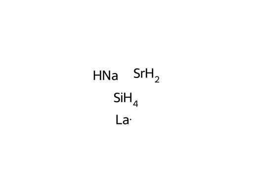 [La].[NaH].[SiH4].[SrH2]